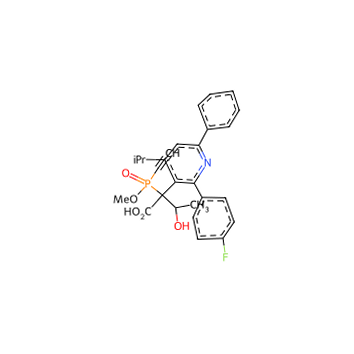 C#CP(=O)(OC)C(C(=O)O)(c1c(C(C)C)cc(-c2ccccc2)nc1-c1ccc(F)cc1)C(C)O